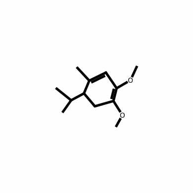 COC1=C(OC)CC(C(C)C)C(C)=C1